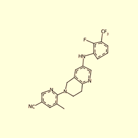 Cc1cc(C#N)cnc1N1CCc2ncc(Nc3cccc(C(F)(F)F)c3F)cc2C1